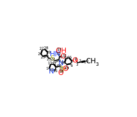 CC#CCOc1ccc(N(C(c2cccnc2)=S(=O)=O)C(CSCc2ccccc2)C(=O)NO)cc1